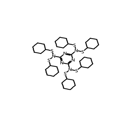 C1CCC(SN(SC2CCCCC2)c2nc(N(SC3CCCCC3)SC3CCCCC3)nc(N(SC3CCCCC3)SC3CCCCC3)n2)CC1